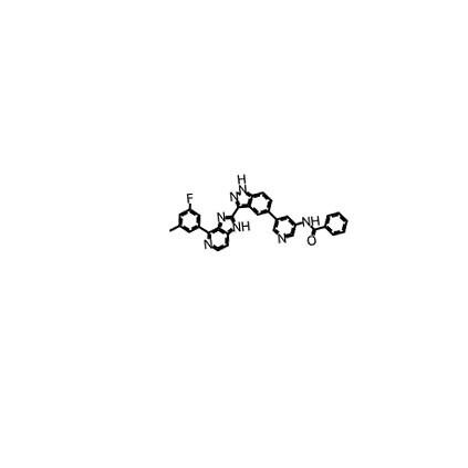 Cc1cc(F)cc(-c2nccc3[nH]c(-c4n[nH]c5ccc(-c6cncc(NC(=O)c7ccccc7)c6)cc45)nc23)c1